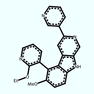 CCOc1ncccc1-c1c(OC)ccc2[nH]c3cnc(-c4cccnc4)cc3c12